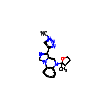 CC1(N2C=C3C(c4cn(C#N)nn4)=NCN3c3ccccc32)CCCO1